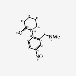 CNCc1cc(N=O)ccc1N1CCCCC1=O